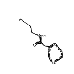 O=C(NCCBr)c1cccnc1